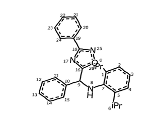 CC(C)c1cccc(C(C)C)c1NC(c1ccccc1)c1nc(-c2ccccc2)no1